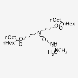 CCCCCCCCC(CCCCCC)C(=O)OCCCCCCN(CCCCCCOC(=O)C(CCCCCC)CCCCCCCC)CCOCCNCCN(C)C